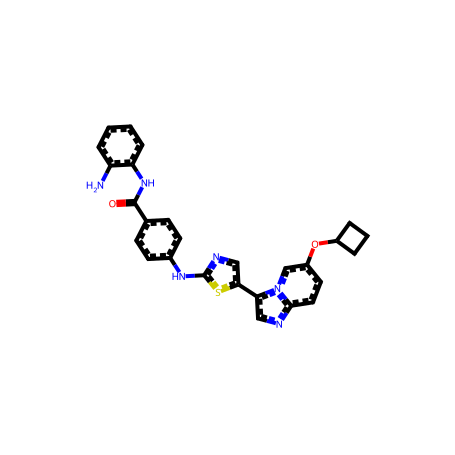 Nc1ccccc1NC(=O)c1ccc(Nc2ncc(-c3cnc4ccc(OC5CCC5)cn34)s2)cc1